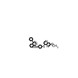 COc1cnc2c(Sc3ccc(Nc4nnc(-c5ccccc5)c5ccccc45)cc3)ccnc2c1